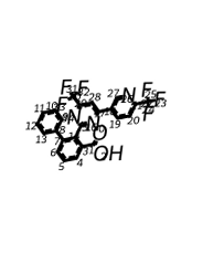 O=C(O)c1cccc(-c2ccccc2)c1-c1nc(-c2ccc(C(F)(F)F)nc2)cc(C(F)(F)F)n1